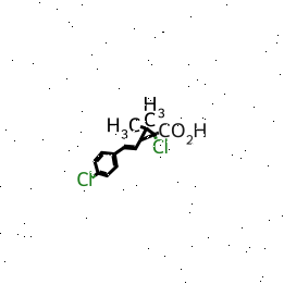 CC1(C)C(C=Cc2ccc(Cl)cc2)C1(Cl)C(=O)O